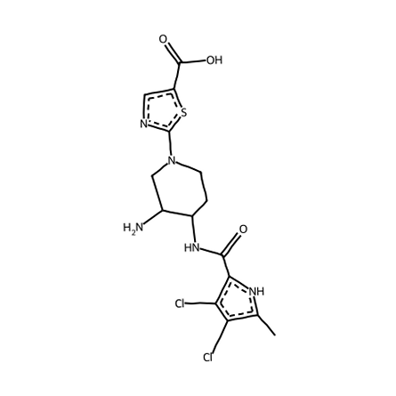 Cc1[nH]c(C(=O)NC2CCN(c3ncc(C(=O)O)s3)CC2N)c(Cl)c1Cl